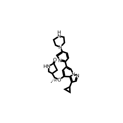 C[C@@H](Oc1cc(-c2ccc(N3CCNCC3)cn2)cn2ncc(C3CC3)c12)C1CNC(=O)C1